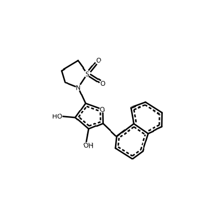 O=S1(=O)CCCN1c1oc(-c2cccc3ccccc23)c(O)c1O